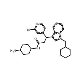 NC1CCC(NC(=O)CC(c2ccnc(O)c2)c2cn(CC3CCCCC3)c3ccccc23)CC1